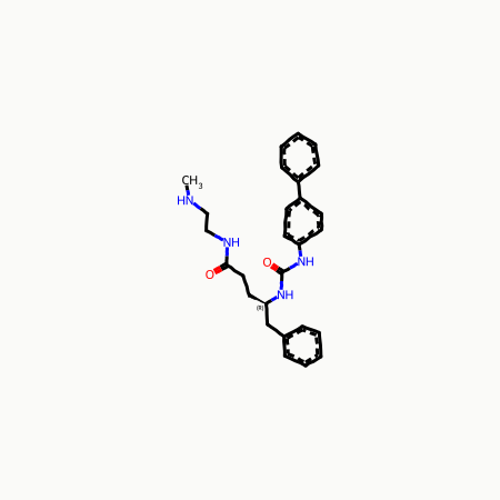 CNCCNC(=O)CC[C@H](Cc1ccccc1)NC(=O)Nc1ccc(-c2ccccc2)cc1